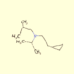 CC(C)CN(CCC1CC1)C(C)C